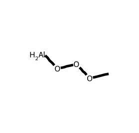 COO[O][AlH2]